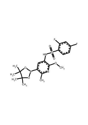 COc1nc(C)c(B2OC(C)(C)C(C)(C)O2)cc1NS(=O)(=O)c1ccc(F)cc1F